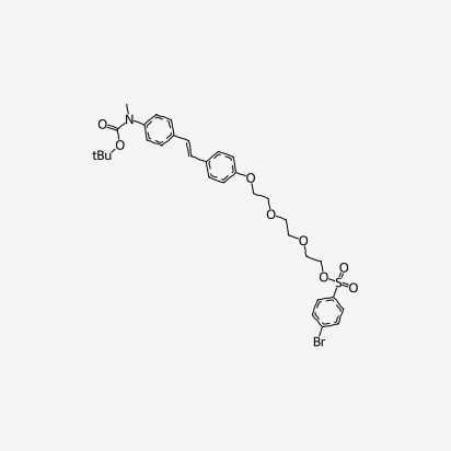 CN(C(=O)OC(C)(C)C)c1ccc(C=Cc2ccc(OCCOCCOCCOS(=O)(=O)c3ccc(Br)cc3)cc2)cc1